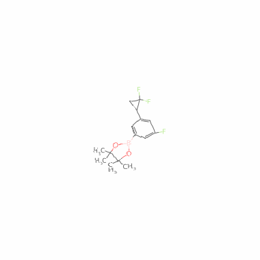 CC1(C)OB(c2cc(F)cc(C3CC3(F)F)c2)OC1(C)C